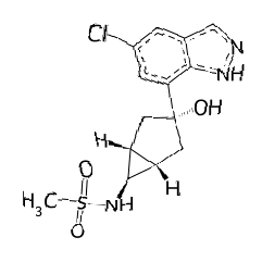 CS(=O)(=O)N[C@H]1[C@@H]2C[C@@](O)(c3cc(Cl)cc4cn[nH]c34)C[C@@H]21